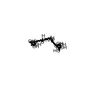 CC(=O)C(CCCCNC(=O)CCCCOC1OC(CO)C(C)C(O)C1O)NC(=O)CCCCOC1OC(CO)C(O)C(O)C1O